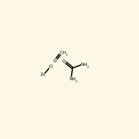 C=O.NC(N)=O.[Cl][Zn]